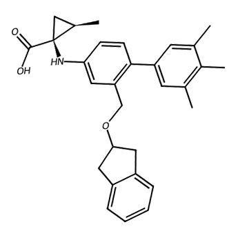 Cc1cc(-c2ccc(N[C@@]3(C(=O)O)C[C@H]3C)cc2COC2Cc3ccccc3C2)cc(C)c1C